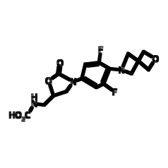 O=C(O)NCC1CN(c2cc(F)c(N3CC4(COC4)C3)c(F)c2)C(=O)O1